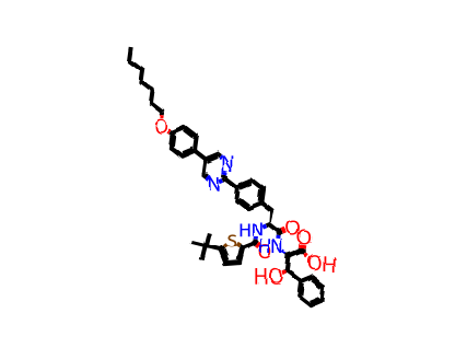 CCCCCCCOc1ccc(-c2cnc(-c3ccc(C[C@H](NC(=O)c4ccc(C(C)(C)C)s4)C(=O)N[C@@H](C(=O)O)[C@H](O)c4ccccc4)cc3)nc2)cc1